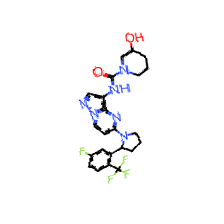 O=C(Nc1cnn2ccc(N3CCCC3c3cc(F)ccc3C(F)(F)F)nc12)N1CCCC(O)C1